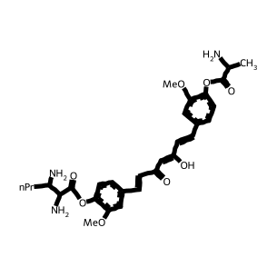 CCCC(N)C(N)C(=O)Oc1ccc(/C=C/C(=O)/C=C(O)/C=C/c2ccc(OC(=O)C(C)N)c(OC)c2)cc1OC